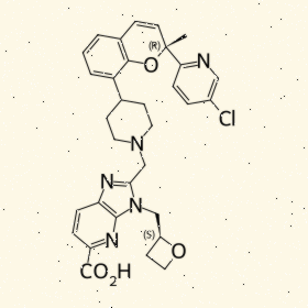 C[C@]1(c2ccc(Cl)cn2)C=Cc2cccc(C3CCN(Cc4nc5ccc(C(=O)O)nc5n4C[C@@H]4CCO4)CC3)c2O1